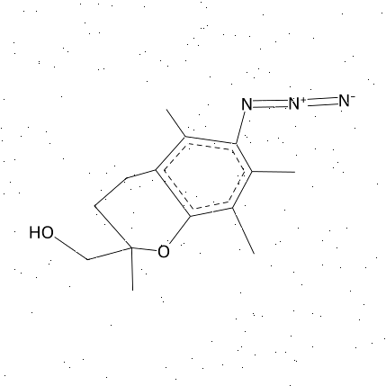 Cc1c(C)c2c(c(C)c1N=[N+]=[N-])CCC(C)(CO)O2